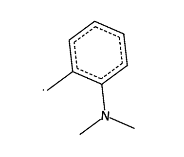 [CH2]c1ccccc1N(C)C